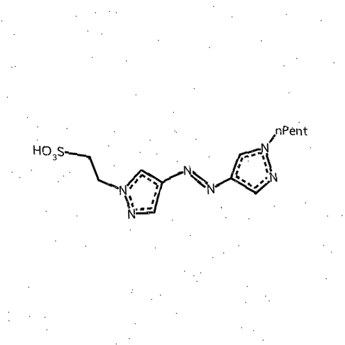 CCCCCn1cc(/N=N/c2cnn(CCS(=O)(=O)O)c2)cn1